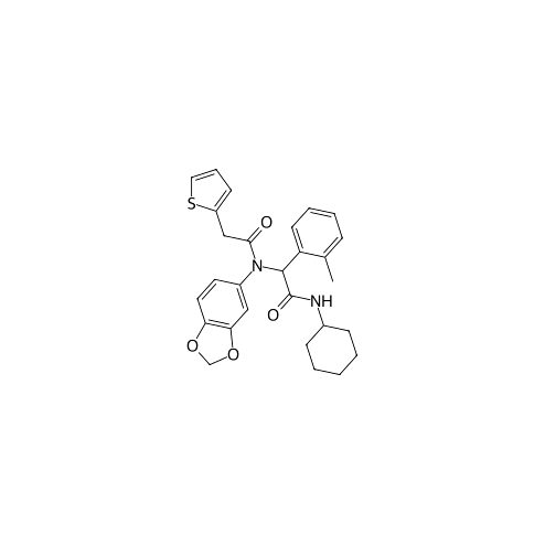 Cc1ccccc1C(C(=O)NC1CCCCC1)N(C(=O)Cc1cccs1)c1ccc2c(c1)OCO2